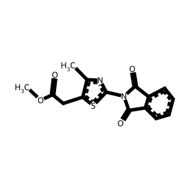 COC(=O)Cc1sc(N2C(=O)c3ccccc3C2=O)nc1C